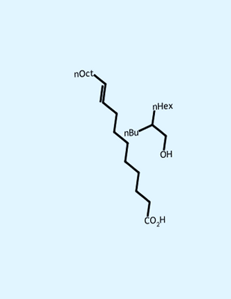 CCCCCCC(CO)CCCC.CCCCCCCCC=CCCCCCCCC(=O)O